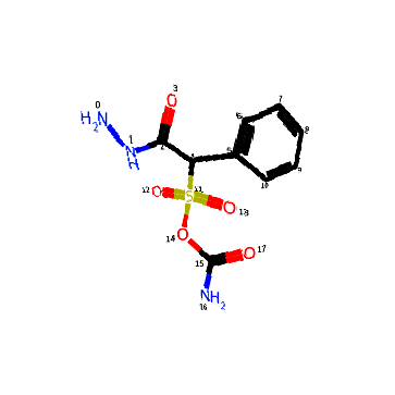 NNC(=O)C(c1ccccc1)S(=O)(=O)OC(N)=O